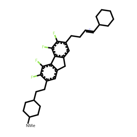 CNC1CCC(CCc2cc3c(c(F)c2F)-c2c(cc(CC/C=C/C4CCCCC4)c(F)c2F)C3)CC1